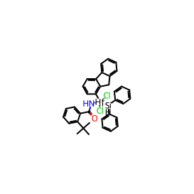 CC(C)(C)c1ccccc1C(=O)[NH][Hf]([Cl])([Cl])([c]1cccc2c1Cc1ccccc1-2)[SiH](c1ccccc1)c1ccccc1